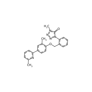 Cc1cccc(-c2ccc(OCc3ccccc3-n3nnn(C)c3=O)c(C)c2)n1